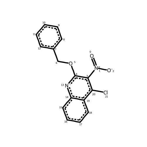 O=[N+]([O-])c1c(OCc2ccccc2)nc2ccccc2c1Cl